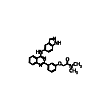 CN(C)C(=O)COc1cccc(-c2nc(Nc3ccc4[nH]ncc4c3)c3ccccc3n2)c1